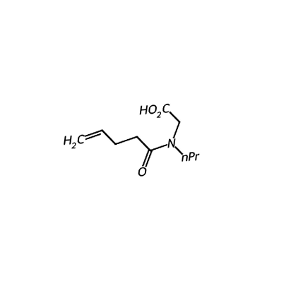 C=CCCC(=O)N(CCC)CC(=O)O